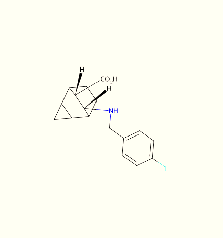 O=C(O)[C@H]1C2CCC(C3CC32)[C@H]1NCc1ccc(F)cc1